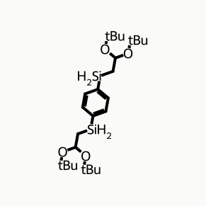 CC(C)(C)OC(C[SiH2]c1ccc([SiH2]CC(OC(C)(C)C)OC(C)(C)C)cc1)OC(C)(C)C